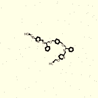 C#CCOc1ccc(/C=N/[C@@H](COCc2ccc(COC[C@H](/N=C/c3ccc(OCC#C)cn3)c3ccccc3)cc2)c2ccccc2)nc1